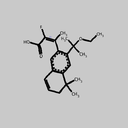 CCOC(C)(C)c1cc2c(cc1/C(C)=C(/F)C(=O)O)C=CCC2(C)C